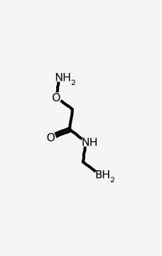 BCNC(=O)CON